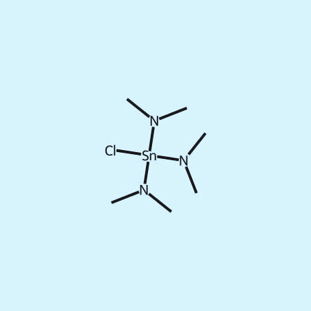 C[N](C)[Sn]([Cl])([N](C)C)[N](C)C